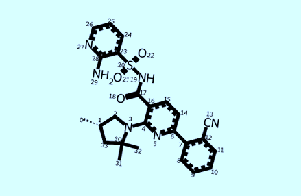 C[C@@H]1CN(c2nc(-c3ccccc3C#N)ccc2C(=O)NS(=O)(=O)c2cccnc2N)C(C)(C)C1